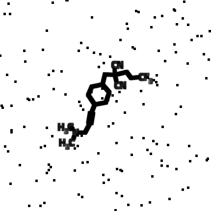 CN(C)CC#CC1CCC(CC(C#N)(C#N)CCC(F)(F)F)CC1